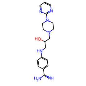 N=C(N)c1ccc(NCC(O)CN2CCN(c3ncccn3)CC2)cc1